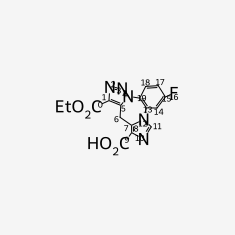 CCOC(=O)c1nnn2c1Cc1c(C(=O)O)ncn1-c1cc(F)ccc1-2